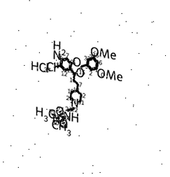 COc1cc(COc2cc(N)c(Cl)cc2C(=O)CCC2CCN(CCNS(=O)(=O)N(C)C)CC2)cc(OC)c1.Cl